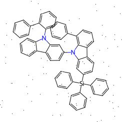 c1ccc(-c2ccccc2-n2c3ccccc3c3ccc(-n4c5cc([Si](c6ccccc6)(c6ccccc6)c6ccccc6)ccc5c5cccc(-c6ccccc6)c54)cc32)cc1